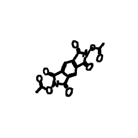 CC(=O)On1c(=O)c2cc3c(=O)n(OC(C)=O)c(=O)c3cc2c1=O